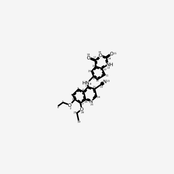 CCOc1ccc2c(Nc3ccc4[nH]c(=O)oc(=O)c4c3)c(C#N)cnc2c1OCC